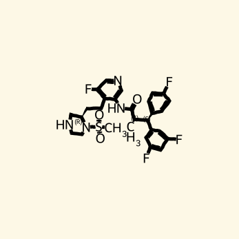 C[C@H](C(=O)Nc1cncc(F)c1CC[C@@H]1CNCCN1S(C)(=O)=O)[C@@H](c1ccc(F)cc1)c1cc(F)cc(F)c1